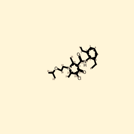 CCc1cccc(CC)c1NC(=O)c1c(C)n(CCOC(C)C)c(C)c(Cl)c1=O